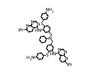 CC(C)c1ccc2c(Nc3cc(CN(Cc4ccc(Sc5ccc(N)cc5)c(Nc5ncnc6nc(C(C)C)ccc56)c4)c4ccccc4)ccc3Sc3ccc(N)cc3)ncnc2n1